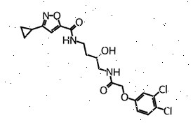 O=C(COc1ccc(Cl)c(Cl)c1)NC[C@@H](O)CCNC(=O)c1cc(C2CC2)no1